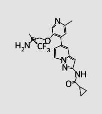 Cc1cc(-c2ccn3nc(NC(=O)C4CC4)cc3c2)c(OC[C@@](C)(N)C(F)(F)F)cn1